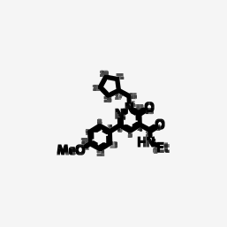 CCNC(=O)c1cc(-c2ccc(OC)cc2)nn(CC2CCCC2)c1=O